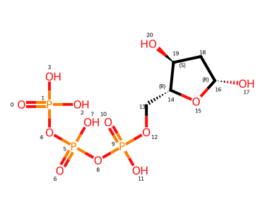 O=P(O)(O)OP(=O)(O)OP(=O)(O)OC[C@H]1O[C@@H](O)C[C@@H]1O